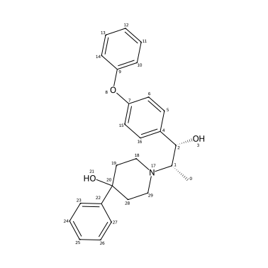 C[C@@H]([C@@H](O)c1ccc(Oc2ccccc2)cc1)N1CCC(O)(c2ccccc2)CC1